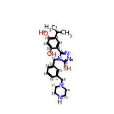 CC(C)c1cc(-c2nnc(S)n2Cc2cccc(CN3CCNCC3)c2)c(O)cc1O